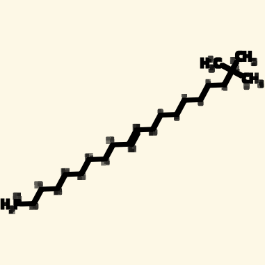 CC(C)(C)CCCCCCCC=CCCCCCCCCP